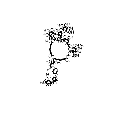 CCC(O[C@H]1CC[C@@H](O[C@H]2CC[C@@H](O[C@H]3C[C@](C)(N)[C@H](O)[C@H](C)O3)[C@@H](C)O2)[C@@H](C)O1)[C@H](C)[C@H](O)[C@@H](C)[C@H](O)[C@H](C)C1OC(=O)/C=C\C=C\C[C@@H](O)C[C@@H](O)CC[C@@H](C)C(O[C@H]2C[C@@H](O[C@@H]3O[C@H](CO)[C@@H](O)[C@H](O)[C@H]3O)[C@H](O)[C@@H](CO[C@@H]3O[C@H](C)[C@@H](O)[C@H](O)[C@@H]3O)O2)C2(O)OC(CC(O)C2O)[C@@H](C)C(O[C@H]2O[C@H](CO)[C@@H](O)[C@H](O)[C@H]2NC(C)=O)C[C@H](O)C[C@@H](O)C[C@H](O)/C=C/C=C/[C@@H]1C